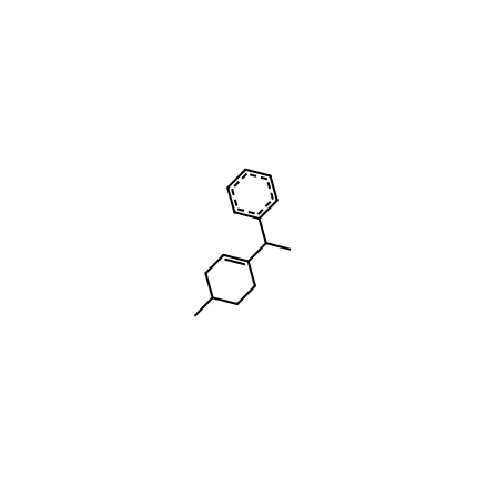 CC1CC=C(C(C)c2ccccc2)CC1